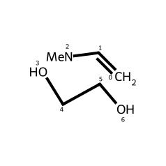 C=CNC.OCCO